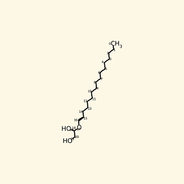 CCCCCCCCCCCCCCCC=COC(O)CO